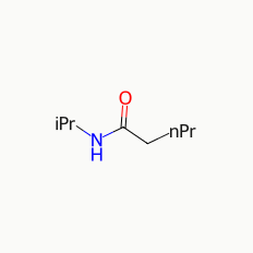 [CH2]CCCC(=O)NC(C)C